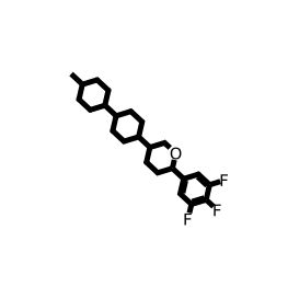 CC1CCC(C2CCC(C3CCC(c4cc(F)c(F)c(F)c4)OC3)CC2)CC1